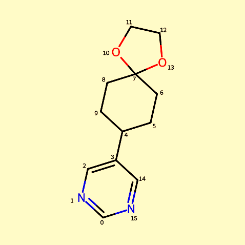 c1ncc(C2CCC3(CC2)OCCO3)cn1